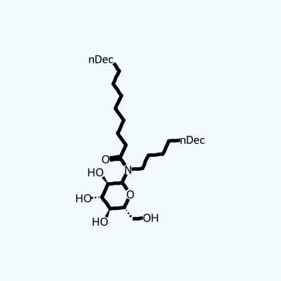 CCCCCCCCCCCCCCCCCC(=O)N(CCCCCCCCCCCCCC)C1O[C@H](CO)[C@@H](O)[C@H](O)[C@H]1O